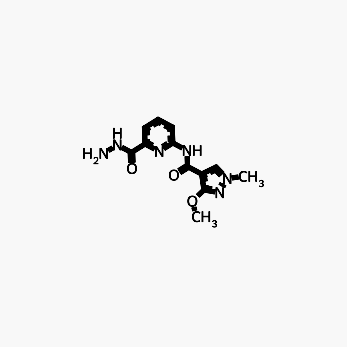 COc1nn(C)cc1C(=O)Nc1cccc(C(=O)NN)n1